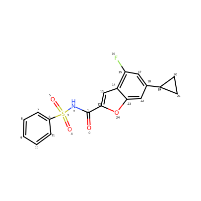 O=C(NS(=O)(=O)c1ccccc1)c1cc2c(F)cc(C3CC3)cc2o1